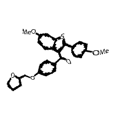 COc1ccc(-c2sc3cc(OC)ccc3c2C(=O)c2ccc(OCC3CCCO3)cc2)cc1